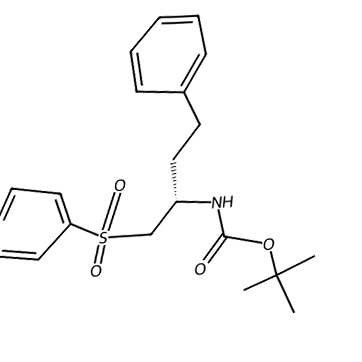 CC(C)(C)OC(=O)N[C@@H](CCc1ccccc1)CS(=O)(=O)c1ccccc1